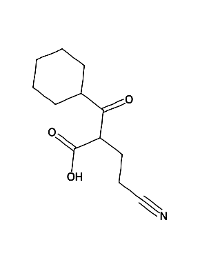 N#CCCC(C(=O)O)C(=O)C1CCCCC1